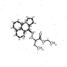 CCOC(=O)C(CC)ON=c1c2nccc3cccc(c32)n2cccc12